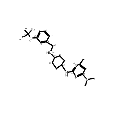 Cc1cc(N(C)C)nc(NC2CCC(NCc3cccc(OC(F)(F)F)c3)CC2)n1